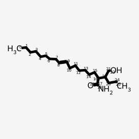 CCCCCCCCC=CCCCCCCC(C(N)=O)C(CO)CCC